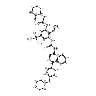 COc1c(NC(=O)Nc2ccc(-c3cnc(CN4CCOCC4)cn3)c3ccccc23)cc(C(C)(C)C)cc1NC(=O)OC1CCCNC1=O